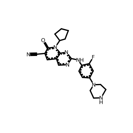 N#Cc1cc2cnc(Nc3ccc(N4CCNCC4)cc3F)nc2n(C2CCCC2)c1=O